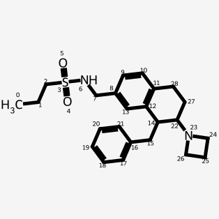 CCCS(=O)(=O)NCc1ccc2c(c1)C(Cc1ccccc1)C(N1CCC1)CC2